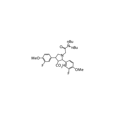 CCCCN(CCCC)C(=O)CN1CC(c2ccc(OC)c(F)c2)C(C(=O)O)C1c1ccc(OC)c(F)c1